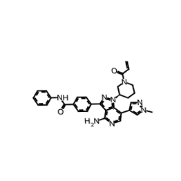 C=CC(=O)N1CCC[C@@H](n2nc(-c3ccc(C(=O)Nc4ccccc4)cc3)c3c(N)ncc(-c4cnn(C)c4)c32)C1